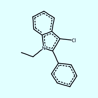 CCn1c(-c2ccccc2)c(Cl)c2ccccc21